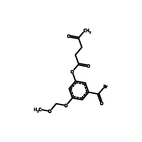 COCOc1cc(OC(=O)CCC(C)=O)cc(C(=O)Br)c1